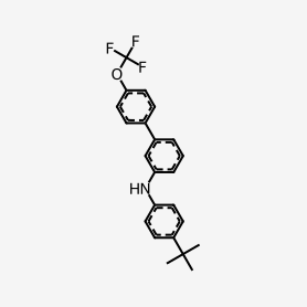 CC(C)(C)c1ccc(Nc2cccc(-c3ccc(OC(F)(F)F)cc3)c2)cc1